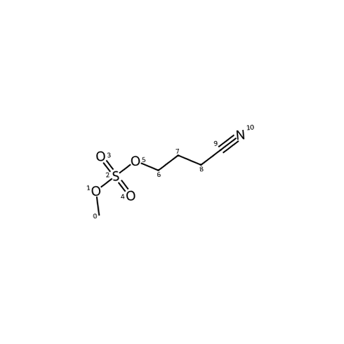 COS(=O)(=O)OCCCC#N